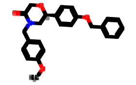 COc1ccc(CN2C[C@H](c3ccc(OCc4ccccc4)cc3)OCC2=O)cc1